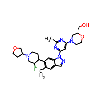 Cc1nc(N2CCO[C@@H](CO)C2)cc(-n2ncc3cc(C)c(C4CCN(C5CCOC5)CC4F)cc32)n1